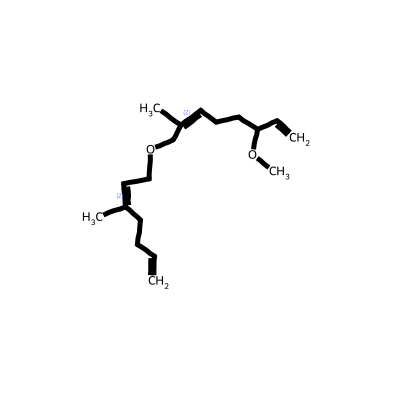 C=CCC/C(C)=C\COC/C(C)=C\CCC(C=C)OC